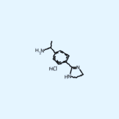 CC(N)c1ccc(C2=NCCN2)cc1.Cl